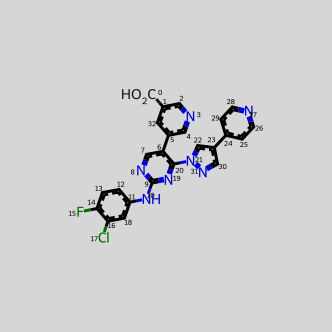 O=C(O)c1cncc(-c2cnc(Nc3ccc(F)c(Cl)c3)nc2-n2cc(-c3ccncc3)cn2)c1